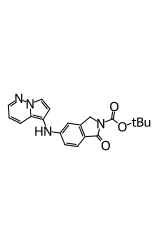 CC(C)(C)OC(=O)N1Cc2cc(Nc3ccn4ncccc34)ccc2C1=O